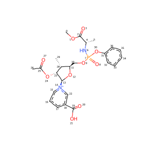 COC(=O)[C@H](C)NP(=O)(OC[C@H]1O[C@@H]([n+]2cccc(C(=O)O)c2)[C@H](OC(C)=O)[C@@H]1C)Oc1ccccc1